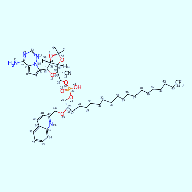 CC1(C)O[C@H]2[C@H](c3ccc4c(N)ncnn34)O[C@](C#N)(COP(=O)(O)OC[C@H](CCCCCCCCCCCCCCCCCC(F)(F)F)OCc3ccc4ccccc4n3)[C@H]2O1